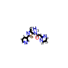 Cc1nc(C2=CCCN=C2)sc1NC(=O)Cc1ncccn1